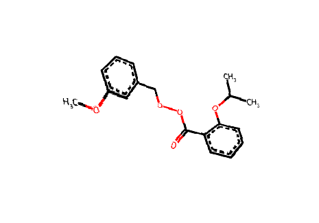 COc1cccc(COOC(=O)c2ccccc2OC(C)C)c1